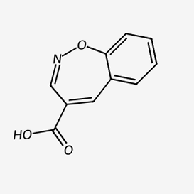 O=C(O)C1=Cc2ccccc2ON=C1